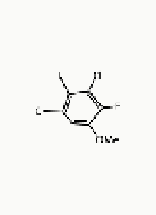 COc1cc(Cl)c(I)c(Cl)c1F